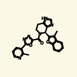 Cc1ncccc1-c1nnc(C(=O)N2CCc3[nH]cnc3[C@H]2c2oc3ccccc3c2C)o1